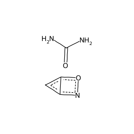 NC(N)=O.c1c2noc1-2